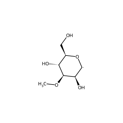 CO[C@H]1[C@H](O)[C@@H](CO)O[CH][C@H]1O